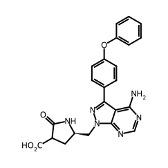 Nc1ncnc2c1c(-c1ccc(Oc3ccccc3)cc1)nn2C[C@H]1CC(C(=O)O)C(=O)N1